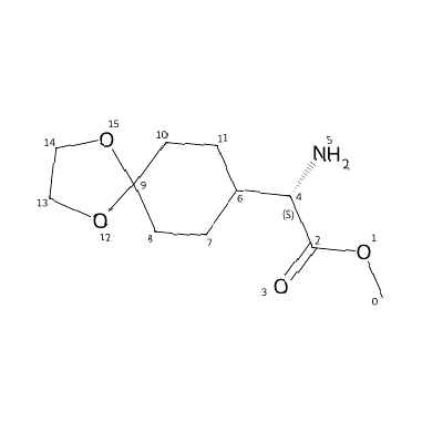 COC(=O)[C@@H](N)C1CCC2(CC1)OCCO2